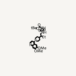 CCC(CNS(=O)(=O)NC(=O)OC(C)(C)C)C1CCN(c2ccnc3cc(OC)c(OC)cc23)CC1